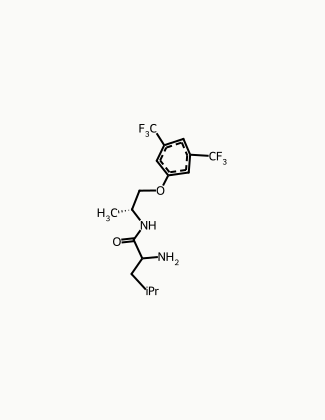 CC(C)CC(N)C(=O)N[C@H](C)COc1cc(C(F)(F)F)cc(C(F)(F)F)c1